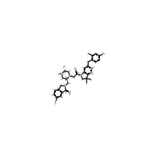 Cc1cc(F)ccc1Cc1cc2c(nn1)C(C)(C)CN2C(=O)CN1C[C@@H](C)NC[C@@H]1CN1Cc2ccc(F)cc2C1=O